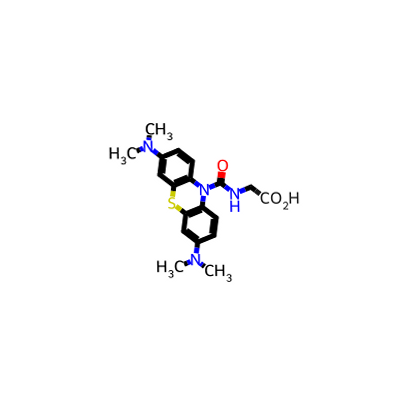 CN(C)c1ccc2c(c1)Sc1cc(N(C)C)ccc1N2C(=O)NCC(=O)O